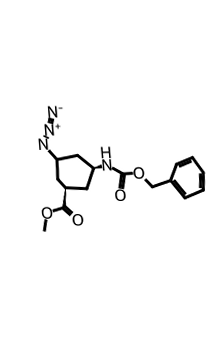 COC(=O)[C@H]1CC(N=[N+]=[N-])C[C@@H](NC(=O)OCc2ccccc2)C1